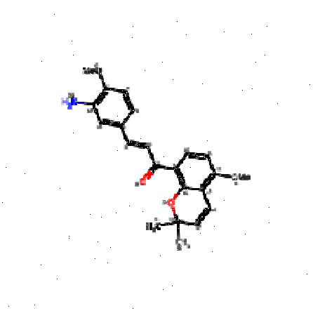 COc1ccc(C=CC(=O)c2ccc(OC)c3c2OC(C)(C)C=C3)cc1N